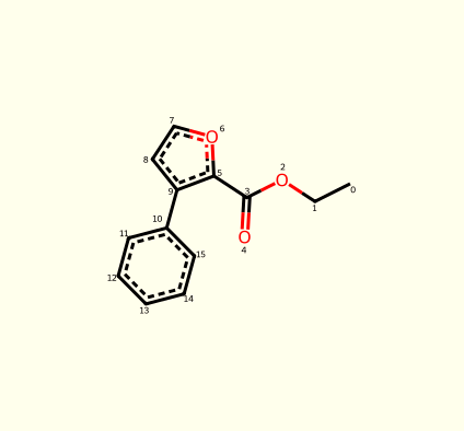 CCOC(=O)c1occc1-c1ccccc1